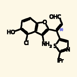 CC(C)c1ncc(/C(=C/C=O)c2oc3ccc(O)c(Cl)c3c2N)s1